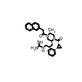 C[C@@H]1CN(C(=O)[C@@H]2C[C@@H]2c2ccccc2)[C@@H](CCCNC(=N)N)CN1C(=O)Cc1ccc2ccccc2c1